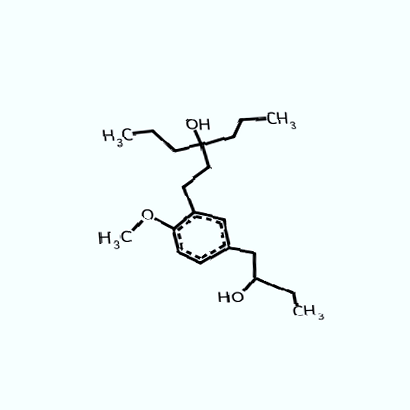 CCCC(O)(CCC)CCc1cc(CC(O)CC)ccc1OC